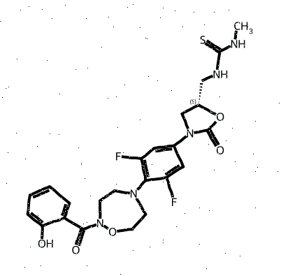 CNC(=S)NC[C@H]1CN(c2cc(F)c(N3CCON(C(=O)c4ccccc4O)CC3)c(F)c2)C(=O)O1